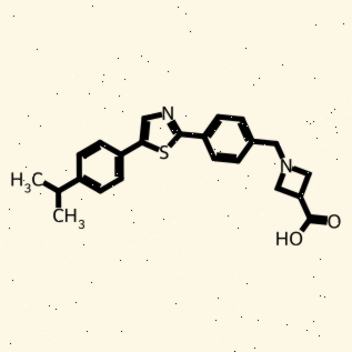 CC(C)c1ccc(-c2cnc(-c3ccc(CN4CC(C(=O)O)C4)cc3)s2)cc1